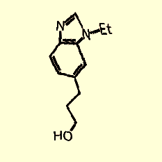 CCn1cnc2ccc(CCCO)cc21